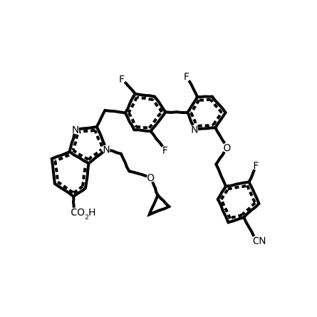 N#Cc1ccc(COc2ccc(F)c(-c3cc(F)c(Cc4nc5ccc(C(=O)O)cc5n4CCOC4CC4)cc3F)n2)c(F)c1